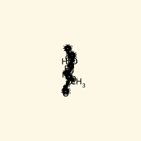 COc1cc2c(Oc3ccc(NC(=O)c4cccn(Cc5ccccc5)c4=O)cc3F)ccnc2cc1OCCCN1CCOCC1